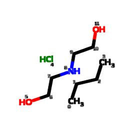 CCCC.Cl.OCCNCCO